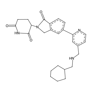 O=C1CCC(N2Cc3cc(-c4cc(CNCC5CCCCC5)ccn4)ccc3C2=O)C(=O)N1